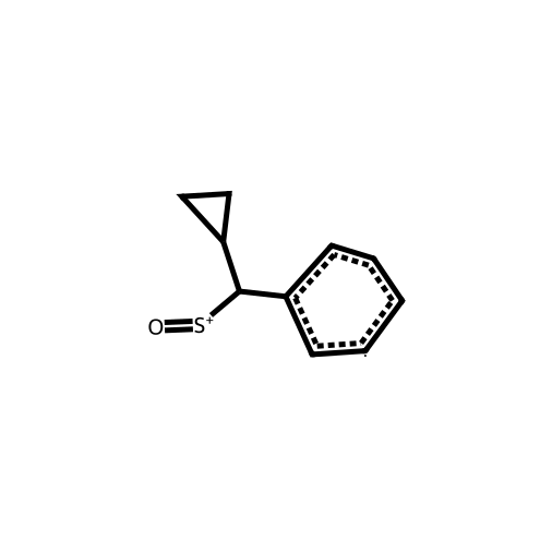 O=[S+]C(c1c[c]ccc1)C1CC1